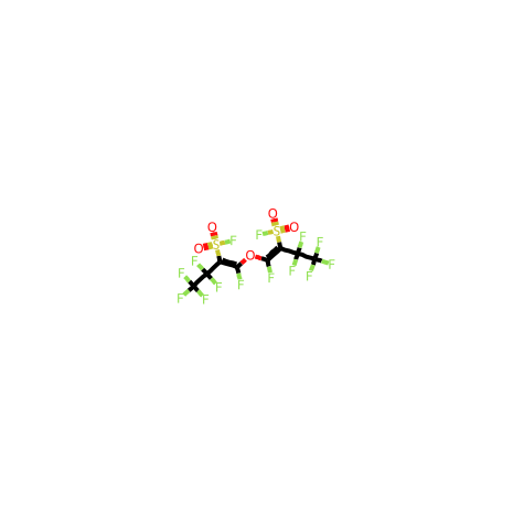 O=S(=O)(F)C(=C(F)OC(F)=C(C(F)(F)C(F)(F)F)S(=O)(=O)F)C(F)(F)C(F)(F)F